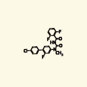 CN(C(=O)NC(=O)c1c(F)cccc1F)c1ccc(-c2ccc(Cl)cc2)c(F)c1